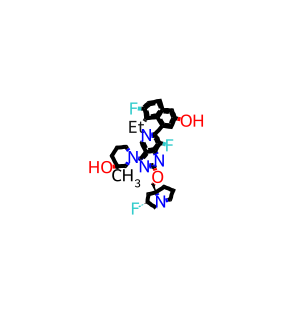 CCc1c(F)ccc2cc(O)cc(-c3ncc4c(N5CCC[C@@](C)(O)C5)nc(OC[C@@]56CCCN5C[C@H](F)C6)nc4c3F)c12